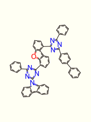 c1ccc(-c2ccc(-c3nc(-c4ccccc4)nc(-c4cccc5oc6c(-c7nc(-c8ccccc8)nc(-n8c9ccccc9c9ccccc98)n7)cccc6c45)n3)cc2)cc1